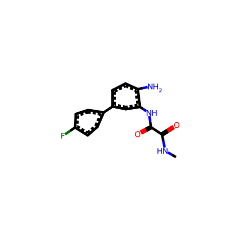 CNC(=O)C(=O)Nc1cc(-c2ccc(F)cc2)ccc1N